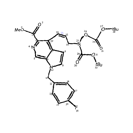 COC(=O)c1ncc2c(ccn2Cc2ccc(F)cc2)c1/C=C\CN(OC(=O)OC(C)(C)C)C(=O)OC(C)(C)C